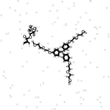 C=C(C)C(=O)OCC(F)(F)S(=O)(=O)[O-].COCCOCCOc1ccc([S+](c2ccc(OCCOCCOC)cc2)c2ccc(OCCOCCOC)cc2)cc1